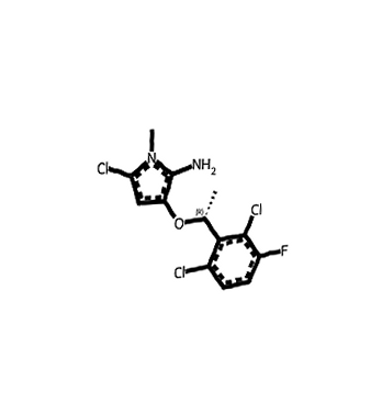 C[C@@H](Oc1cc(Cl)n(C)c1N)c1c(Cl)ccc(F)c1Cl